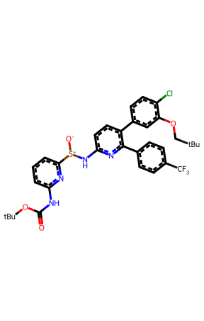 CC(C)(C)COc1cc(-c2ccc(N[S+]([O-])c3cccc(NC(=O)OC(C)(C)C)n3)nc2-c2ccc(C(F)(F)F)cc2)ccc1Cl